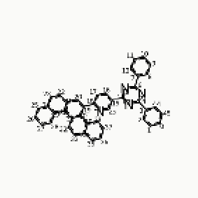 c1ccc(-c2nc(-c3ccccc3)nc(-c3ccc(-c4cc5ccc6ccccc6c5c5ccc6ccccc6c45)nc3)n2)cc1